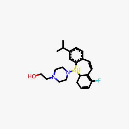 CC(C)c1ccc2c(c1)[SH](N1CCN(CCO)CC1)C1CC=CC(F)=C1C=C2